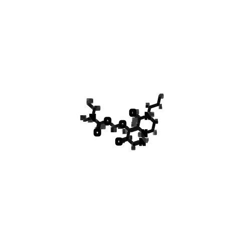 CCCN1CCn2ncc(=O)c(OCOC(=O)N(C)CC)c2C1=O